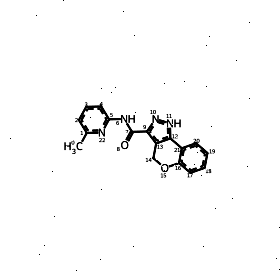 Cc1cccc(NC(=O)c2n[nH]c3c2COc2ccccc2-3)n1